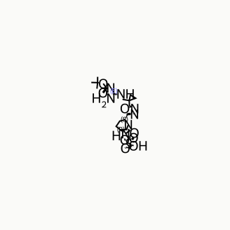 CC(C)(C)OC(=O)/N=C(\N)NCC1(c2nnc([C@@H]3CC[C@@H]4CN3C(=O)N4OS(=O)(=O)O)o2)CC1